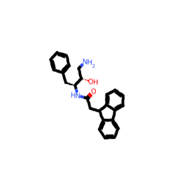 NC[C@H](O)[C@H](Cc1ccccc1)NC(=O)CC1c2ccccc2-c2ccccc21